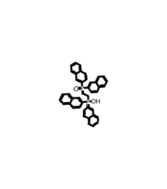 O=P(CC[PH](O)(c1ccc2ccccc2c1)c1ccc2ccccc2c1)(c1ccc2ccccc2c1)c1ccc2ccccc2c1